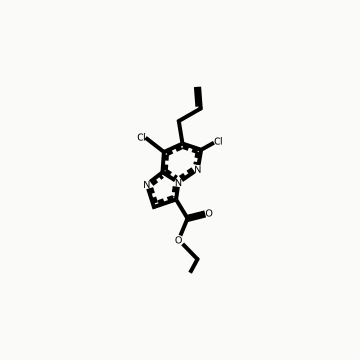 C=CCc1c(Cl)nn2c(C(=O)OCC)cnc2c1Cl